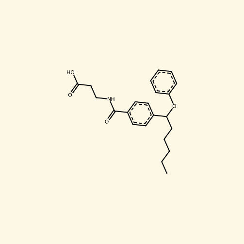 CCCCCC(Oc1ccccc1)c1ccc(C(=O)NCCC(=O)O)cc1